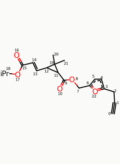 C#CCc1ccc(COC(=O)C2C(C=CC(=O)OC(C)C)C2(C)C)o1